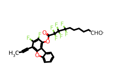 CC#Cc1c(F)c(F)c(OC(=O)C(F)(F)C(F)(F)C(F)(F)CCCCC[C]=O)c2c1oc1ccccc12